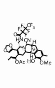 C/C=C(\OC(C)=O)C1=C(C2=COCO2)[C@H](CNC(=O)C(F)(F)C(F)(F)C(F)(F)F)N2C(C1)[C@@H]1c3c(cc(C)c(OC)c3O)C[C@@H]([C@@H]2C#N)N1C